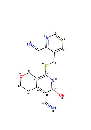 N=Cc1ncccc1CSc1nc(O)c(C=N)c2c1COCC2